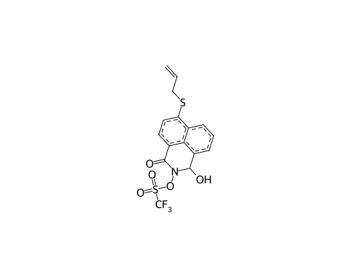 C=CCSc1ccc2c3c(cccc13)C(O)N(OS(=O)(=O)C(F)(F)F)C2=O